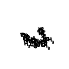 Cc1c(NC(=O)OC(C)(C)C)ccc2nc(N(C)CC(=O)N(C)CCc3ccccn3)oc(=O)c12